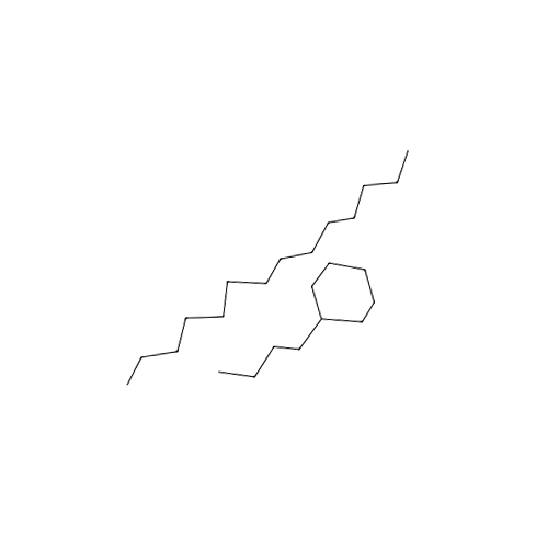 CCCCC1CCCCC1.CCCCCCCCCCCCCC